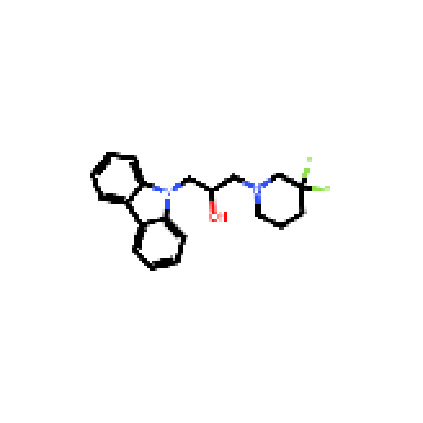 OC(CN1CCCC(F)(F)C1)Cn1c2ccccc2c2ccccc21